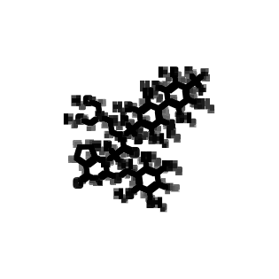 Bc1c(B)c(CSc2nc(=O)c3c(n2C(B)(B)C(=O)N(CCN(CC)CC)C(B)(B)c2c(B)c(B)c(-c4c(B)c(B)c(C(F)(F)F)c(B)c4B)c(B)c2B)CCC3)c(B)c(B)c1F